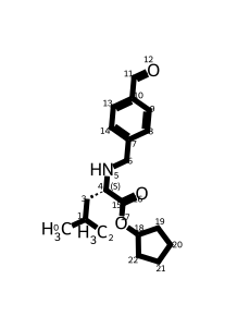 CC(C)C[C@H](NCc1ccc(C=O)cc1)C(=O)OC1CCCC1